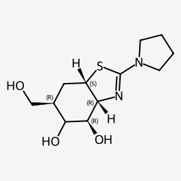 OC[C@H]1C[C@@H]2SC(N3CCCC3)=N[C@@H]2[C@@H](O)C1O